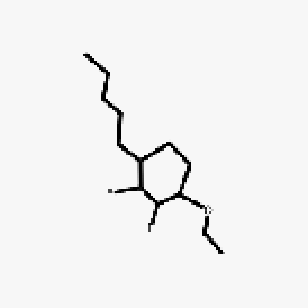 CCCCCC1CC[C](OCC)C(F)C1F